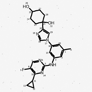 Cc1cc(Nc2ncc(F)c(C3CC3)n2)cc(-n2cnc(C3(O)CCC(O)CC3)c2)c1